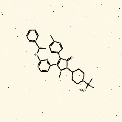 CC(Nc1nccc(-c2c(-c3ccc(F)cc3)c(=O)n(C3CCN(C(C)(C)C(=O)O)CC3)n2C)n1)c1ccccc1